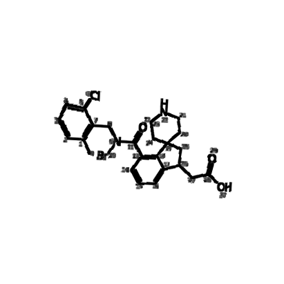 Cc1cccc(Cl)c1CN(Br)C(=O)c1cccc2c1C1(CCNCC1)CC2CC(=O)O